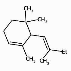 CCC(C)=CC1C(C)=CCCC1(C)C